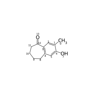 Cc1cc2c(cc1O)CCCCC2=O